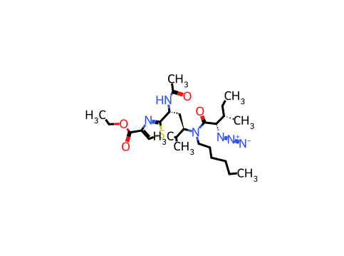 CCCCCCN(C(=O)[C@@H](N=[N+]=[N-])[C@@H](C)CC)[C@H](C[C@@H](NC(C)=O)c1nc(C(=O)OCC)cs1)C(C)C